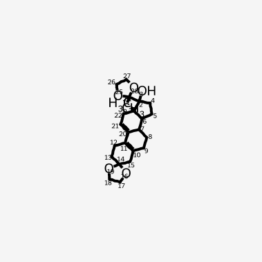 CC1(C2(O)CCC3C4CCC5=C(CCC6(C5)OCCO6)C4=CCC32C)OCCO1